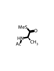 CSC(=O)[C@@H](C)NC(C)=O